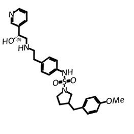 COc1ccc(CC2CCN(S(=O)(=O)Nc3ccc(CCNC[C@H](O)c4cccnc4)cc3)C2)cc1